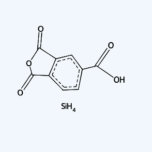 O=C(O)c1ccc2c(c1)C(=O)OC2=O.[SiH4]